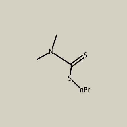 CCCSC(=S)N(C)C